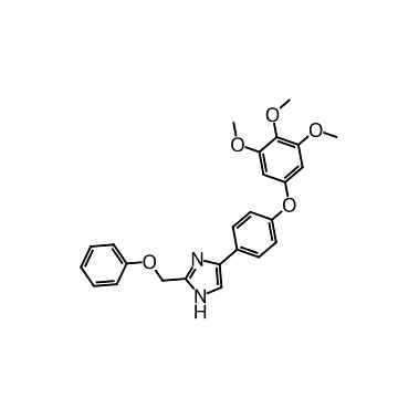 COc1cc(Oc2ccc(-c3c[nH]c(COc4ccccc4)n3)cc2)cc(OC)c1OC